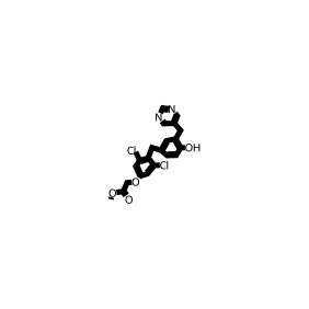 COC(=O)COc1cc(Cl)c(Cc2ccc(O)c(Cc3cncnc3)c2)c(Cl)c1